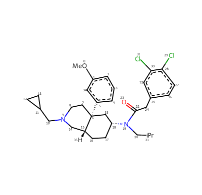 COc1cccc([C@@]23CCN(CC4CC4)C[C@H]2CC[C@@H](N(CC(C)C)C(=O)Cc2ccc(Cl)c(Cl)c2)C3)c1